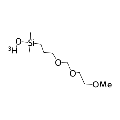 [3H]O[Si](C)(C)CCCOCOCCOC